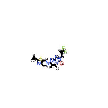 Cc1c(N2CCc3nc(C4CC4)sc3C2)nc2nn(CC3CC3(F)F)c(=O)n2c1C